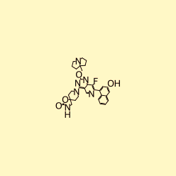 O=C1NCC2(CCN(c3nc(OCC45CCCN4CCC5)nc4c(F)c(-c5cc(O)cc6ccccc56)ncc34)CC2)O1